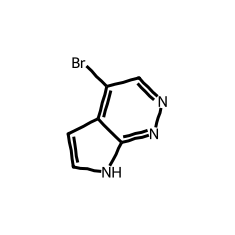 Brc1cnnc2[nH]ccc12